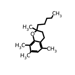 CCCCCC1(C)CCc2c(C)cc(C)c(C)c2O1